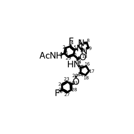 CC(=O)Nc1cc(F)c(-n2nccn2)c(C(=O)N[C@H]2CCC[C@@H]2COc2ccc(F)cc2)c1